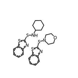 c1ccc2sc(SN3CCOCC3)nc2c1.c1ccc2sc(SNC3CCCCC3)nc2c1